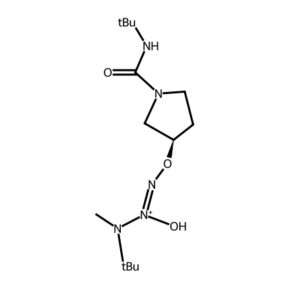 CN(/[N+](O)=N/O[C@@H]1CCN(C(=O)NC(C)(C)C)C1)C(C)(C)C